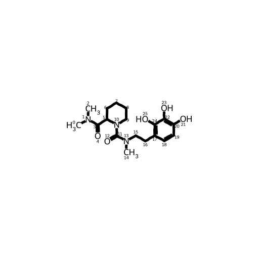 CN(C)C(=O)C1CCCCN1C(=O)N(C)CCc1ccc(O)c(O)c1O